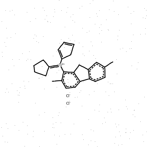 Cc1ccc2c(c1)Cc1c-2ccc(C)[c]1[Ti+2]([C]1=CC=CC1)=[C]1CCCC1.[Cl-].[Cl-]